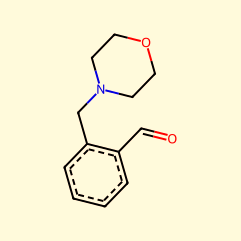 O=Cc1ccccc1CN1CCOCC1